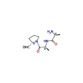 C[C@H](N)C(=O)N[C@@H](C)C(=O)N1CCC[C@H]1C=O